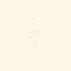 Cc1nn(C2CCC(=O)NC2=O)c2cccc(-c3cnn(C4CCNC4)c3)c12